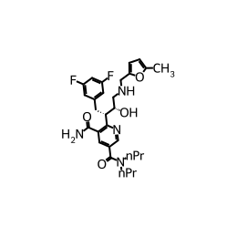 CCCN(CCC)C(=O)c1cnc([C@H](Cc2cc(F)cc(F)c2)[C@@H](O)CNCc2ccc(C)o2)c(C(N)=O)c1